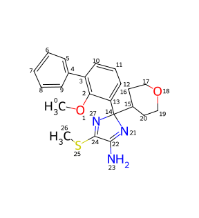 COc1c(-c2ccccc2)cccc1C1(C2CCOCC2)N=C(N)C(SC)=N1